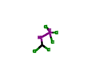 ClC(Cl)P[PH](Cl)(Cl)Cl